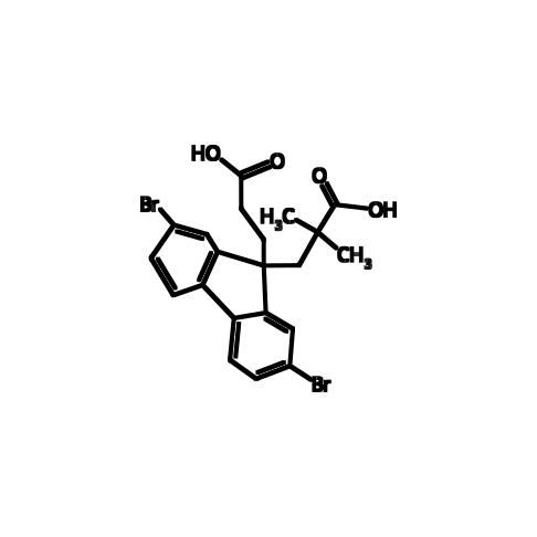 CC(C)(CC1(CCC(=O)O)c2cc(Br)ccc2-c2ccc(Br)cc21)C(=O)O